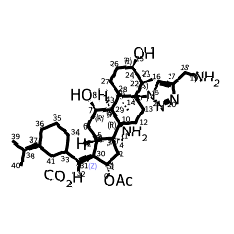 CC(=O)O[C@H]1C[C@@]2(C)[C@@H](C[C@@H](O)[C@@H]3[C@]2(N)CC[C@@]2(n4cc(CN)nn4)[C@H](C)[C@H](O)CC[C@]32C)/C1=C(/C(=O)O)C1CCCC(=C(C)C)C1